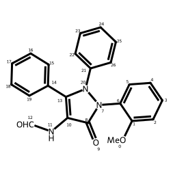 COc1ccccc1-n1c(=O)c(NC=O)c(-c2ccccc2)n1-c1ccccc1